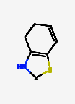 [C]1NC2=C(C=CCC2)S1